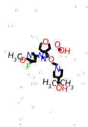 COc1ncc(-n2nc(OCCN3CCC(C(C)(C)O)CC3)c3c2CCOCC3)cc1F.O=CO